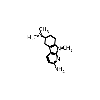 CN(C)C1CCc2c(c3ccc(N)nc3n2C)C1